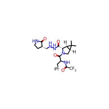 CC(C)CC(NC(=O)C(F)(F)F)C(=O)N1C[C@H]2[C@@H]([C@H]1C(=O)NNC[C@@H]1CCNC1=O)C2(C)C